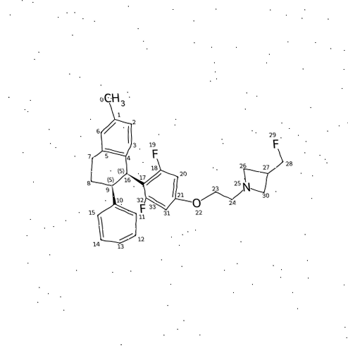 Cc1ccc2c(c1)CC[C@H](c1ccccc1)[C@@H]2c1c(F)cc(OCCN2CC(CF)C2)cc1F